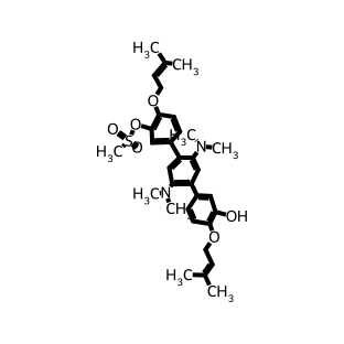 CC(C)=CCOc1ccc(-c2cc(N(C)C)c(-c3ccc(OCC=C(C)C)c(OS(C)(=O)=O)c3)cc2N(C)C)cc1O